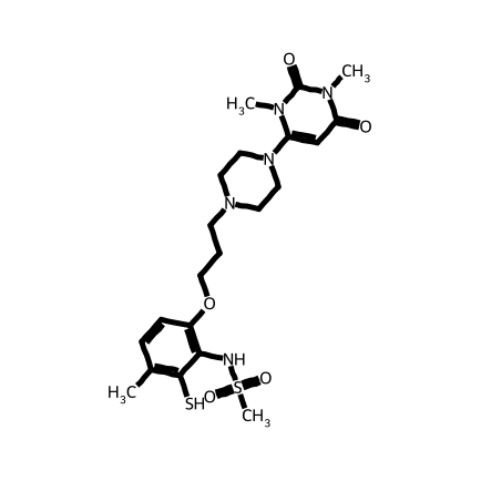 Cc1ccc(OCCCN2CCN(c3cc(=O)n(C)c(=O)n3C)CC2)c(NS(C)(=O)=O)c1S